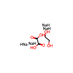 O=C(O)C(=O)O.OCCO.[NaH].[NaH].[NaH].[NaH]